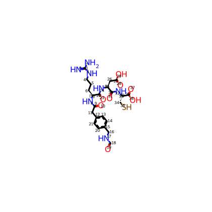 N=C(N)NCCC[C@H](NC(=O)Cc1ccc(CNC=O)cc1)C(=O)N[C@@H](CC(=O)O)C(=O)N[C@@H](CS)C(=O)O